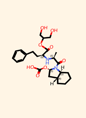 C[C@H](N[C@@H](CCc1ccccc1)C(=O)OC(CO)CO)C(=O)N1[C@@H](OC(=O)O)C[C@H]2CCCC[C@@H]21